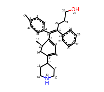 Cc1ccc(/C(C2=CC=C(C3CCNCC3)C[C@H]2C)=C(\CCCO)c2ccccc2)cc1